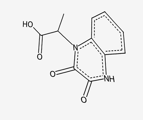 CC(C(=O)O)n1c(=O)c(=O)[nH]c2ccccc21